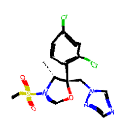 C[C@H]1N(S(C)(=O)=O)CO[C@@]1(Cn1cncn1)c1ccc(Cl)cc1Cl